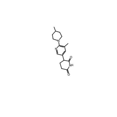 Cc1cc(C2CCC(=O)NC2=O)cnc1N1CCC(C)CC1